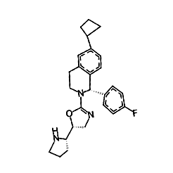 Fc1ccc([C@H]2c3ccc(C4CCC4)cc3CCN2C2=NC[C@H]([C@@H]3CCCN3)O2)cc1